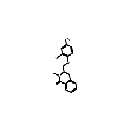 CN1C(=O)c2ccccc2CC1COc1ccc(C(F)(F)F)cc1Cl